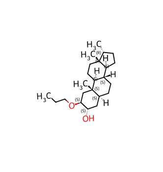 CCCO[C@H]1C[C@@]2(C)[C@@H](CC[C@@H]3[C@@H]2CC[C@]2(C)[C@H](C)CC[C@@H]32)C[C@@H]1O